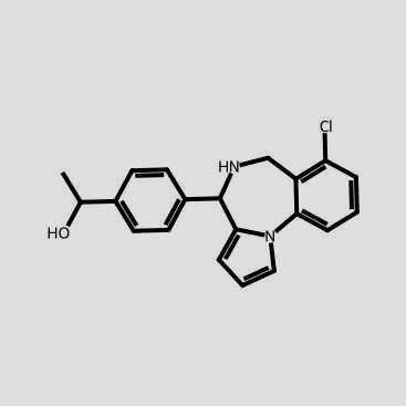 CC(O)c1ccc(C2NCc3c(Cl)cccc3-n3cccc32)cc1